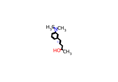 CC(O)C/C=C/c1cccc(N(C)C)c1